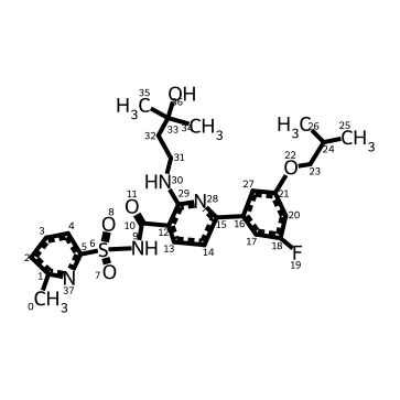 Cc1cccc(S(=O)(=O)NC(=O)c2ccc(-c3cc(F)cc(OCC(C)C)c3)nc2NCCC(C)(C)O)n1